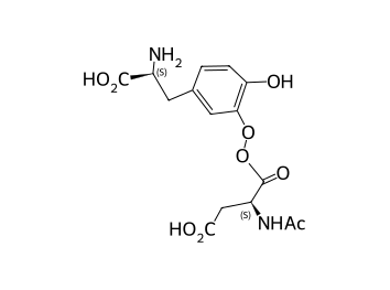 CC(=O)N[C@@H](CC(=O)O)C(=O)OOc1cc(C[C@H](N)C(=O)O)ccc1O